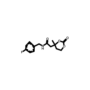 CC1(CC(=O)NCc2ccc(F)cc2)CCOC(=O)O1